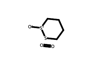 O=O.[O-][S+]1CCCCS1